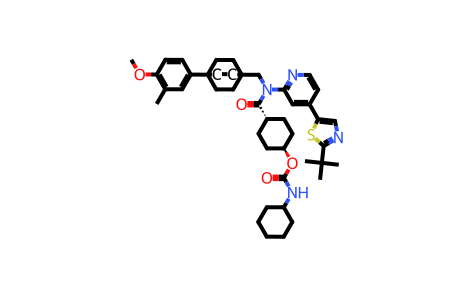 COc1ccc(C23CCC(CN(c4cc(-c5cnc(C(C)(C)C)s5)ccn4)C(=O)[C@H]4CC[C@H](OC(=O)NC5CCCCC5)CC4)(CC2)CC3)cc1C